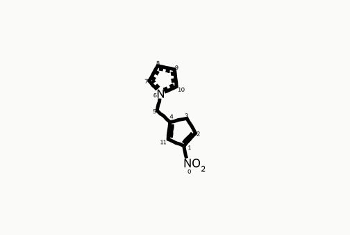 O=[N+]([O-])C1=CCC(Cn2cccc2)=C1